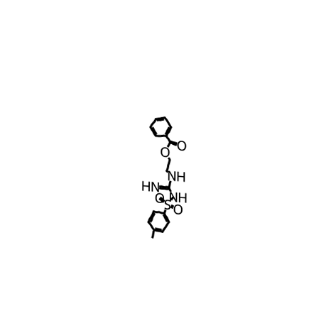 Cc1ccc(S(=O)(=O)NC(=N)NCCOC(=O)c2ccccc2)cc1